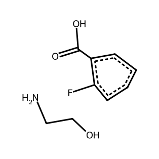 NCCO.O=C(O)c1ccccc1F